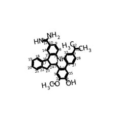 COc1cc(C2Nc3ccc(C(=N)N)cc3C3c4ccccc4CC23)c(-c2ccc(C(C)C)cc2)cc1O